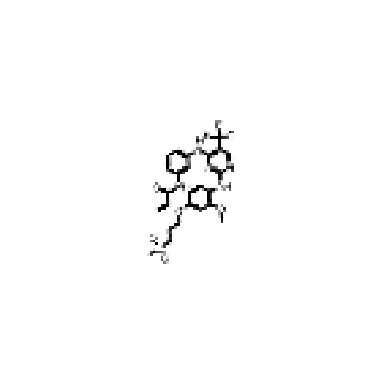 C=CC(=O)Nc1cccc(Nc2nc(Nc3ccc(OCCCS(C)(=O)=O)cc3OC)ncc2C(F)(F)F)c1